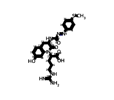 CSc1ccc(/N=N/C(=O)NC(Cc2ccc(O)cc2)C(=O)NC(CCCNC(=N)N)C(=O)O)cc1